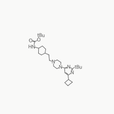 CC(C)(C)OC(=O)NC1CCC(CCN2CCN(c3cc(C4CCC4)nc(C(C)(C)C)n3)CC2)CC1